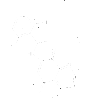 CC(NC1=CC(=O)c2cccnc2C1=O)c1c(Cl)cccc1Cl